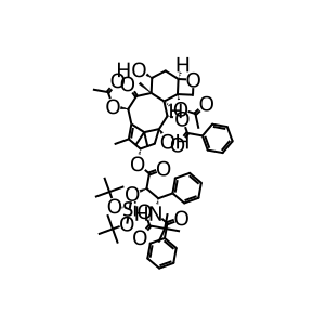 CC(=O)O[C@H]1C(=O)[C@@]2(C)[C@H]([C@H](OC(=O)c3ccccc3)[C@]3(O)C[C@H](OC(=O)[C@H](O[Si](OC(=O)C(C)(C)C)(OC(C)(C)C)OC(C)(C)C)[C@@H](NC(=O)c4ccccc4)c4ccccc4)C(C)=C1C3(C)C)[C@]1(OC(C)=O)CO[C@@H]1C[C@@H]2O